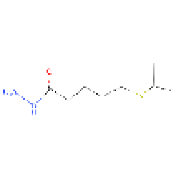 CC(C)SCCCCC(=O)NN